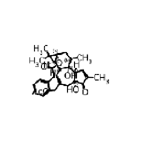 CC(=O)OCC1=C[C@H]2[C@H]3C(C)(C)[C@]3(OC(=O)Cc3ccccc3)C[C@@H](C)[C@]2(O)[C@@H]2C=C(C)C(=O)[C@@]2(O)C1